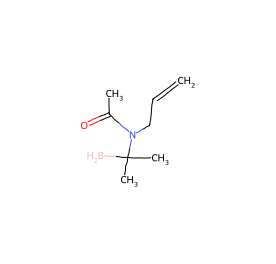 BC(C)(C)N(CC=C)C(C)=O